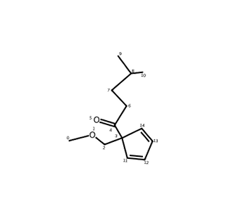 COCC1(C(=O)CCC(C)C)C=CC=C1